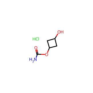 Cl.NC(=O)OC1CC(O)C1